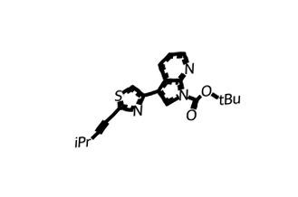 CC(C)C#Cc1nc(-c2cn(C(=O)OC(C)(C)C)c3ncccc23)cs1